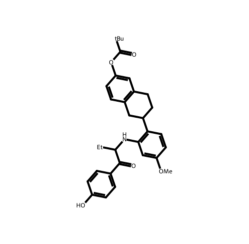 CCC(Nc1cc(OC)ccc1C1CCc2cc(OC(=O)C(C)(C)C)ccc2C1)C(=O)c1ccc(O)cc1